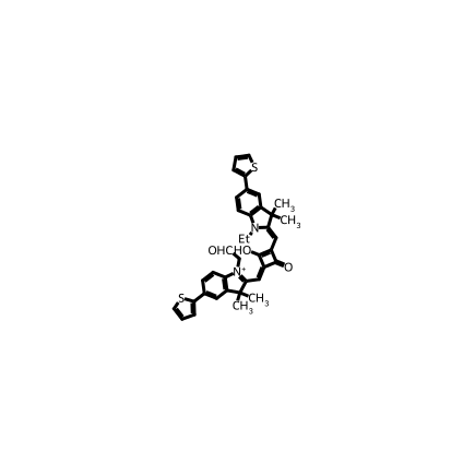 CCN1C(=CC2=C(O)C(=CC3=[N+](CC=O)c4ccc(-c5cccs5)cc4C3(C)C)C2=O)C(C)(C)c2cc(-c3cccs3)ccc21